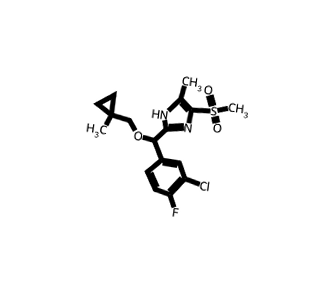 Cc1[nH]c(C(OCC2(C)CC2)c2ccc(F)c(Cl)c2)nc1S(C)(=O)=O